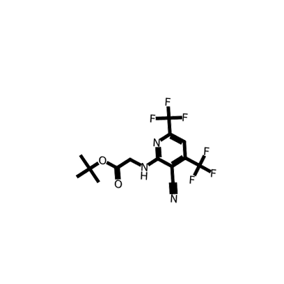 CC(C)(C)OC(=O)CNc1nc(C(F)(F)F)cc(C(F)(F)F)c1C#N